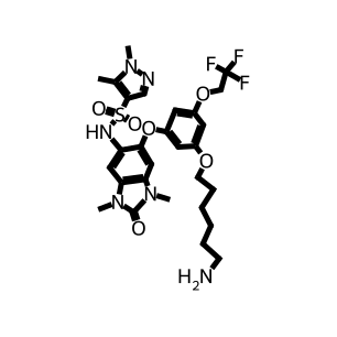 Cc1c(S(=O)(=O)Nc2cc3c(cc2Oc2cc(OCCCCCCN)cc(OCC(F)(F)F)c2)n(C)c(=O)n3C)cnn1C